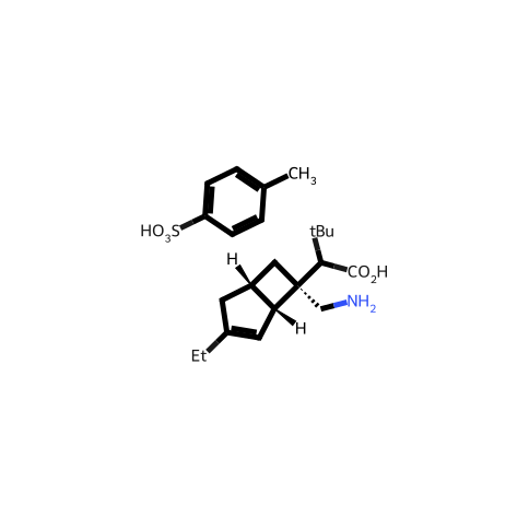 CCC1=C[C@@H]2[C@H](C1)C[C@@]2(CN)C(C(=O)O)C(C)(C)C.Cc1ccc(S(=O)(=O)O)cc1